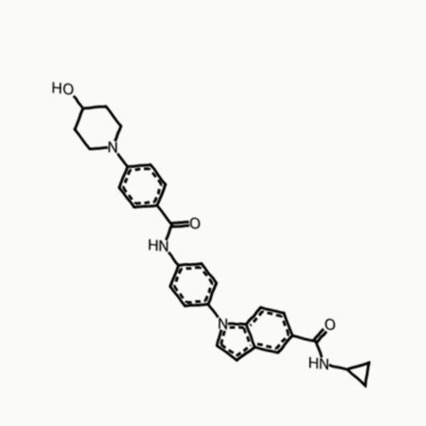 O=C(Nc1ccc(-n2ccc3cc(C(=O)NC4CC4)ccc32)cc1)c1ccc(N2CCC(O)CC2)cc1